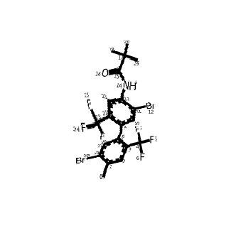 Cc1cc(C(F)(F)F)c(-c2cc(Br)c(NC(=O)C(C)(C)C)cc2C(F)(F)F)cc1Br